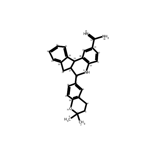 CC1(C)CCc2cc(C3Nc4ccc(C(=N)N)cc4C4c5ccccc5CC34)ccc2O1